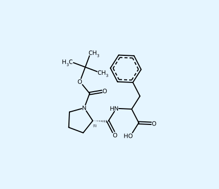 CC(C)(C)OC(=O)N1CCC[C@H]1C(=O)NC(Cc1ccccc1)C(=O)O